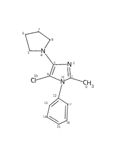 Cc1nc(N2CCCC2)c(Cl)n1-c1ccccc1